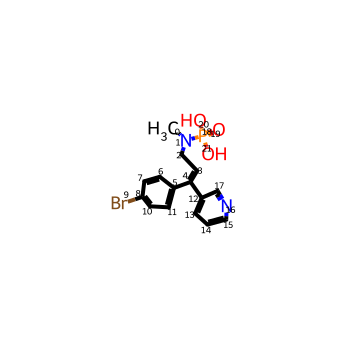 CN(C/C=C(\c1ccc(Br)cc1)c1cccnc1)P(=O)(O)O